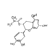 CN(C)C(=O)O[C@@H]1Cc2c(O)cc(O)cc2O[C@H]1c1ccc(O)c(O)c1